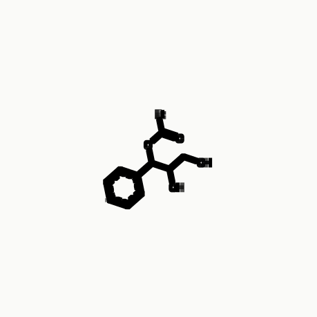 CCC(=O)OC(c1cc[c]cc1)C(O)CO